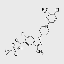 Cc1nn(C2CCN(c3ccc(Cl)c(C(F)(F)F)n3)CC2)c2cc(F)c(C(=O)NS(=O)(=O)C3CC3)cc12